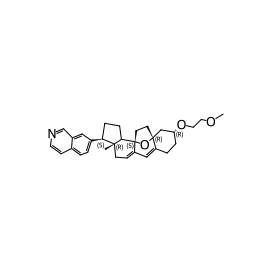 COCCO[C@@H]1CCC2=CC3=CC[C@@]4(C)C(CC[C@@H]4c4ccc5ccncc5c4)[C@@]34CC[C@]2(C1)O4